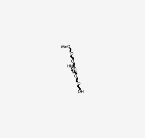 COCCOCCOCCOCCOCCOCCO.N=[N+]=N